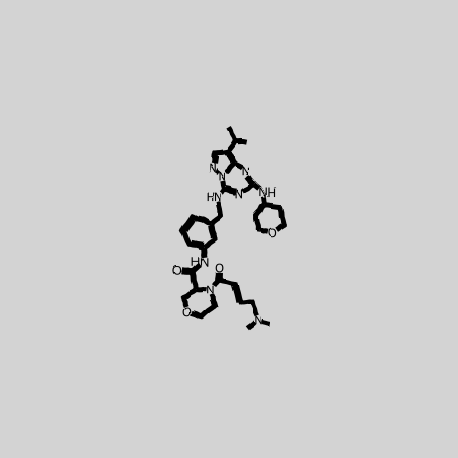 CC(C)c1cnn2c(NCc3cccc(NC(=O)C4COCCN4C(=O)/C=C/CN(C)C)c3)nc(NC3CCOCC3)nc12